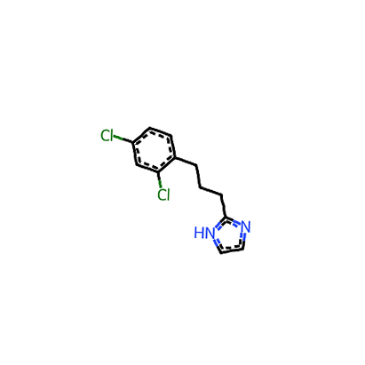 Clc1ccc(CCCc2ncc[nH]2)c(Cl)c1